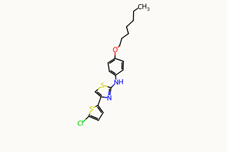 CCCCCCCOc1ccc(Nc2nc(-c3ccc(Cl)s3)cs2)cc1